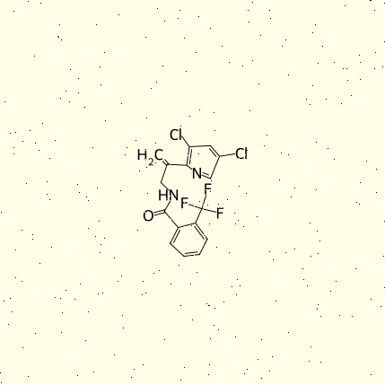 C=C(CNC(=O)c1ccccc1C(F)(F)F)c1ncc(Cl)cc1Cl